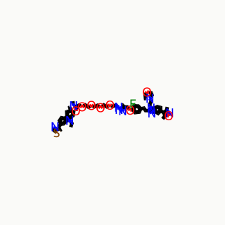 CCn1c2ccc(CN(C)C(=O)COCCOCCOCCOCCn3cc(COc4ccc(CCc5nc6cc(-c7c(C)noc7C)ccc6n5CCN5CCOCC5)cc4F)nn3)cc2c2ccc(-c3cscn3)cc21